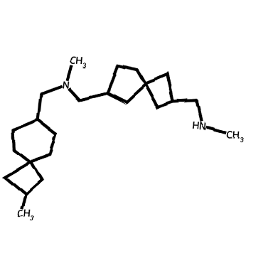 CNCC1CC2(CCC(CN(C)CC3CCC4(CC3)CC(C)C4)C2)C1